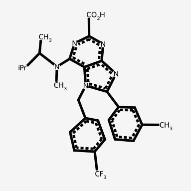 Cc1cccc(-c2nc3nc(C(=O)O)nc(N(C)C(C)C(C)C)c3n2Cc2ccc(C(F)(F)F)cc2)c1